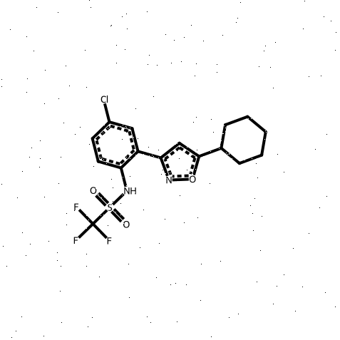 O=S(=O)(Nc1ccc(Cl)cc1-c1cc(C2CCCCC2)on1)C(F)(F)F